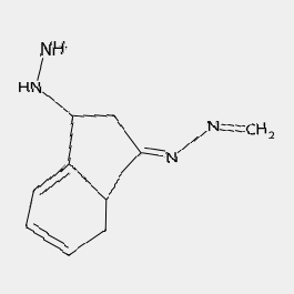 C=NN=C1CC(N[NH])C2=CC=CCC21